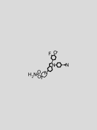 COc1ccc(-c2cc3cc(N4CCC(C)(OC(N)=O)CC4)ccc3n2-c2ccc(C#N)cc2)cc1F